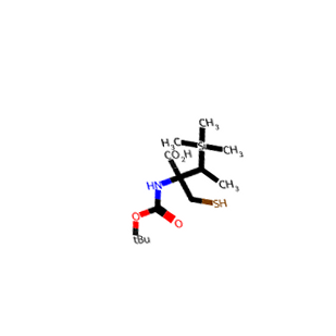 CC(C(CS)(NC(=O)OC(C)(C)C)C(=O)O)[Si](C)(C)C